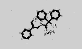 CBr.CC(C(=O)OCC(=CO)c1ccccc1)(c1ccccc1)c1ccccc1